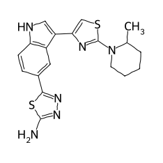 CC1CCCCN1c1nc(-c2c[nH]c3ccc(-c4nnc(N)s4)cc23)cs1